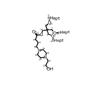 CCCCCCCOCC(COCCCCCCC)(COCCCCCCC)COC(=O)CCCN1CCN(CCO)CC1